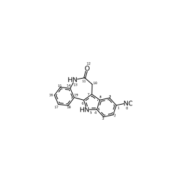 [C-]#[N+]c1ccc2[nH]c3c(c2c1)CC(=O)Nc1ccccc1-3